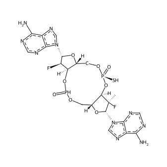 C[C@@]1(F)[C@@H]2O[P@](=O)(S)OC[C@H]3O[C@@H](n4cnc5c(N)ncnc54)[C@H](F)[C@@H]3O[PH](=O)OC[C@H]2O[C@H]1n1cnc2c(N)ncnc21